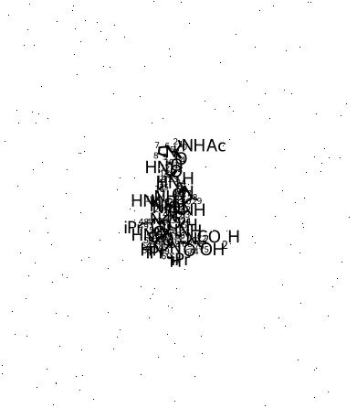 CC(=O)N[C@@H](C)C(=O)N1CCC[C@H]1C(=O)N[C@@H](CCCNC(=N)N)C(=O)NCC(=O)N[C@@H](C)C(=O)N[C@@H](CC(N)=O)C(=O)N[C@@H](CS)C(=O)N[C@@H](CC(C)C)C(=O)N[C@@H](CC(C)C)C(=O)N[C@@H](CC(C)C)C(=O)N[C@@H](CC(C)C)C(=O)N[C@H](C(=O)O)[C@@H](C)O